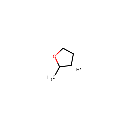 CC1CCCO1.[H+]